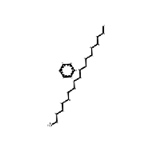 CCCCCCCCCCCCCCCCCCO.c1ccccc1